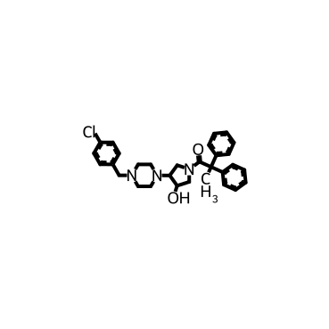 CC(C(=O)N1CC(O)C(N2CCN(Cc3ccc(Cl)cc3)CC2)C1)(c1ccccc1)c1ccccc1